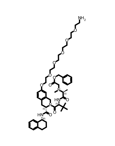 C[C@@H](C(=O)N[C@H](C(=O)N1Cc2cc(OCCOCCOCCOCCOCCOCCN)ccc2C[C@H]1C(=O)N[C@@H]1CCCc2ccccc21)C(C)(C)C)N(C)CC(=O)OCc1ccccc1